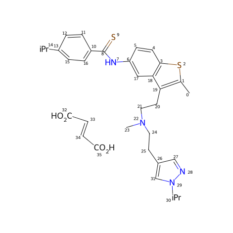 Cc1sc2ccc(NC(=S)c3ccc(C(C)C)cc3)cc2c1CCN(C)CCc1cnn(C(C)C)c1.O=C(O)C=CC(=O)O